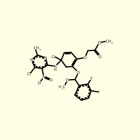 COC(=O)COC1=C(OC(OC)c2cccc(F)c2F)CC(Cl)(Nc2nc(C)nc(Cl)c2[N+](=O)[O-])C=C1